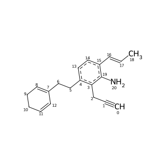 C#CCc1c(CCC2=CCCC=C2)ccc(/C=C/C)c1N